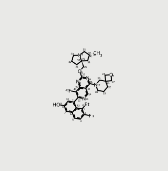 CCc1c(F)ccc2cc(O)cc(-c3ncc4c(N5CCCC6(COC6)C5)nc(OC[C@@]56CCCN5C[C@H](C)C6)nc4c3F)c12